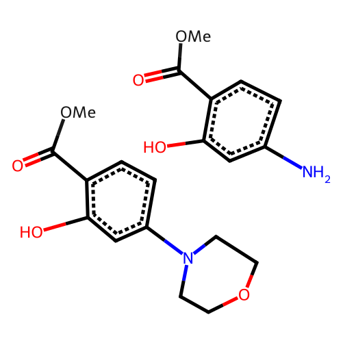 COC(=O)c1ccc(N)cc1O.COC(=O)c1ccc(N2CCOCC2)cc1O